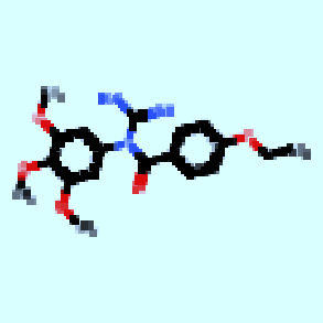 CCOc1ccc(C(=O)N(C(=N)N)c2cc(OC)c(OC)c(OC)c2)cc1